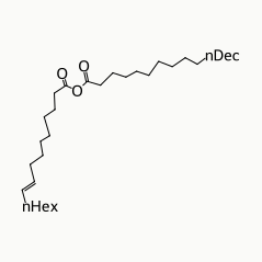 CCCCCCC=CCCCCCCCC(=O)OC(=O)CCCCCCCCCCCCCCCCCCC